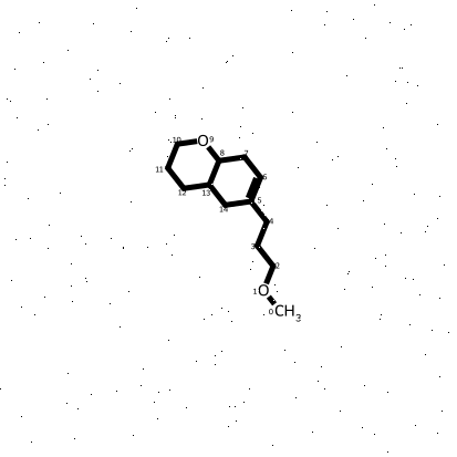 COCCCC1=CCC2OCCCC2C1